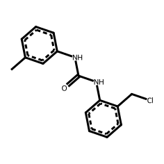 Cc1cccc(NC(=O)Nc2ccccc2CCl)c1